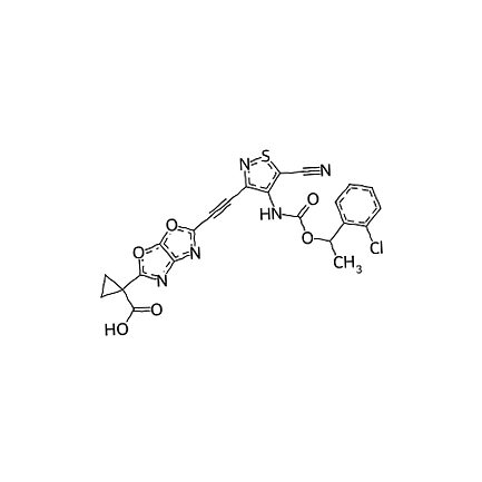 CC(OC(=O)Nc1c(C#Cc2nc3nc(C4(C(=O)O)CC4)oc3o2)nsc1C#N)c1ccccc1Cl